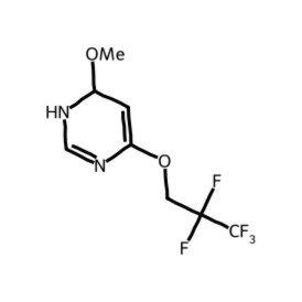 COC1C=C(OCC(F)(F)C(F)(F)F)N=CN1